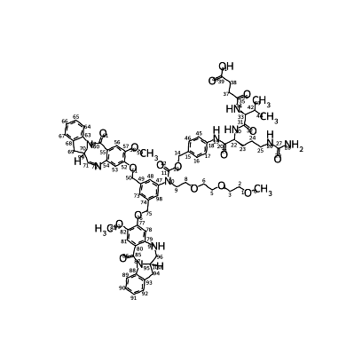 COCCOCCOCCN(C(=O)OCc1ccc(NC(=O)[C@H](CCCNC(N)=O)NC(=O)[C@@H](NC(=O)CCC(=O)O)C(C)C)cc1)c1cc(COc2cc3c(cc2OC)C(=O)N2c4ccccc4C[C@H]2C=N3)cc(COc2cc3c(cc2OC)C(=O)N2c4ccccc4C[C@H]2CN3)c1